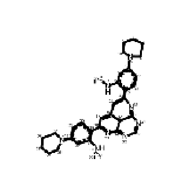 CC(C)Nc1cc(N2CCCCC2)ccc1C1=CC2=CC(c3ccc(N4CCCCC4)cc3NC(C)C)=NC3=NC=NC(=N1)C23